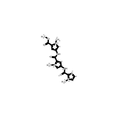 COC(=O)c1cc(NC(=O)c2cc(NC(=O)c3nccn3C)cn2C)cn1C